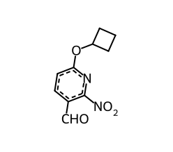 O=Cc1ccc(OC2CCC2)nc1[N+](=O)[O-]